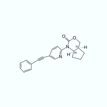 O=C1OC[C@H]2CCC[C@H]2N1c1ccc(C#Cc2ccccc2)cn1